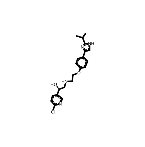 CC(C)c1nc(-c2ccc(OCCNC[C@H](O)c3ccc(Cl)nc3)cc2)c[nH]1